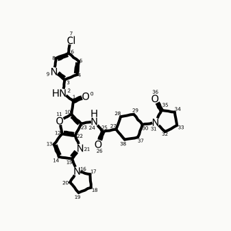 O=C(Nc1ccc(Cl)cn1)c1oc2ccc(N3CCCC3)nc2c1NC(=O)C1CCC(N2CCCC2=O)CC1